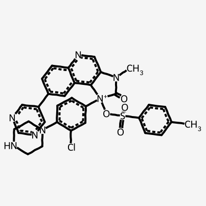 Cc1ccc(S(=O)(=O)O[N+]2(c3ccc(N4CCNCC4)c(Cl)c3)C(=O)N(C)c3cnc4ccc(-c5cncnc5)cc4c32)cc1